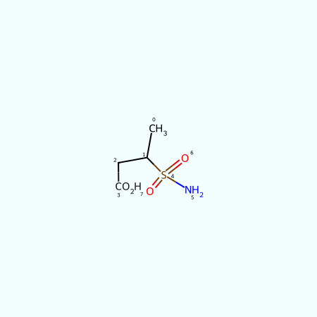 CC(CC(=O)O)S(N)(=O)=O